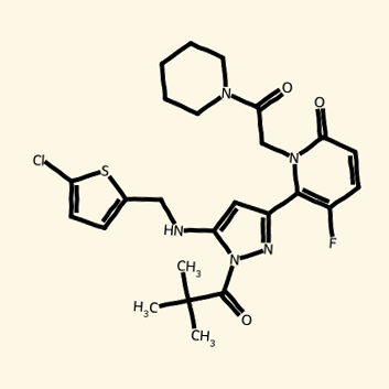 CC(C)(C)C(=O)n1nc(-c2c(F)ccc(=O)n2CC(=O)N2CCCCC2)cc1NCc1ccc(Cl)s1